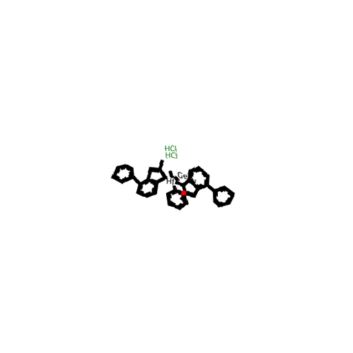 CC1=Cc2c(-c3ccccc3)cccc2[CH]1[Hf]([CH3])(=[GeH2])([c]1ccccc1)[CH]1C(C)=Cc2c(-c3ccccc3)cccc21.Cl.Cl